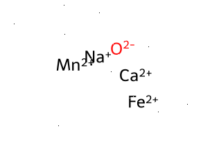 [Ca+2].[Fe+2].[Mn+2].[Na+].[O-2]